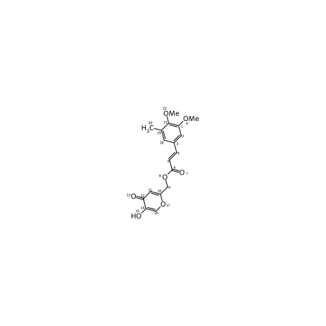 COc1cc(/C=C/C(=O)OCc2cc(=O)c(O)co2)cc(C)c1OC